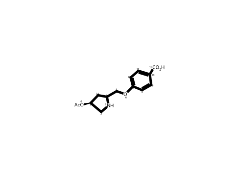 CC(=O)O[C@@H]1CNC(COc2ccc(C(=O)O)cc2)C1